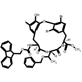 COC(=O)[C@@H]1Cc2cc(Br)c(c(Br)c2)Oc2cc(cc(I)c2O)C[C@H](NC(=O)OCC2c3ccccc3-c3ccccc32)C(=O)N[C@@H](C(C)OCc2ccccc2)C(=O)N1